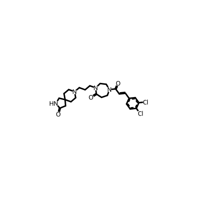 O=C1CC2(CCN(CCCN3CCN(C(=O)C=Cc4ccc(Cl)c(Cl)c4)CCC3=O)CC2)CN1